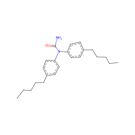 CCCCCc1ccc(N(C(N)=O)c2ccc(CCCCC)cc2)cc1